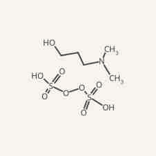 CN(C)CCCO.O=S(=O)(O)OOS(=O)(=O)O